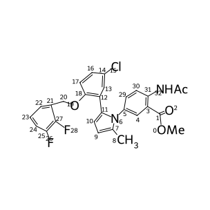 COC(=O)c1cc(-n2c(C)ccc2-c2cc(Cl)ccc2OCc2cccc(F)c2F)ccc1NC(C)=O